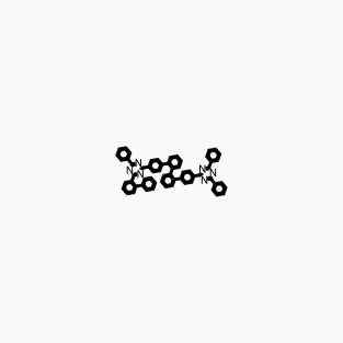 c1ccc(-c2nc(-c3ccccc3)nc(-c3ccc(-c4ccccc4-c4ccccc4-c4ccc(-c5nc(-c6ccccc6)nc(-c6ccccc6-c6ccccc6)n5)cc4)cc3)n2)cc1